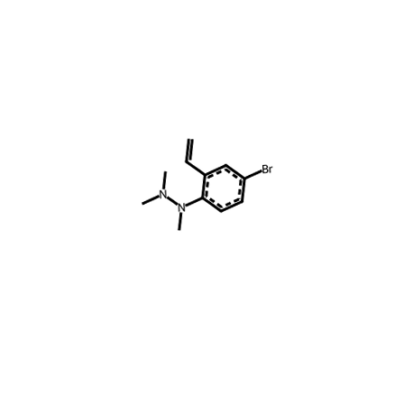 C=Cc1cc(Br)ccc1N(C)N(C)C